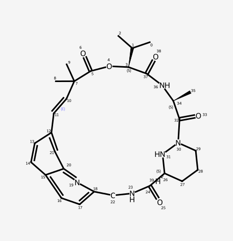 CC(C)[C@@H]1OC(=O)C(C)(C)/C=C/c2ccc3ccc(nc3c2)CNC(=O)[C@@H]2CCCN(N2)C(=O)[C@H](C)NC1=O